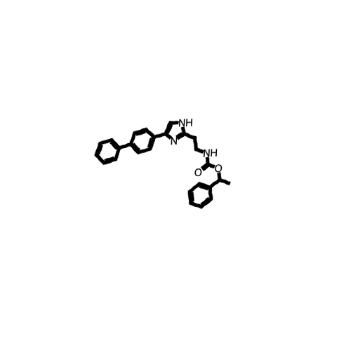 CC(OC(=O)NCCc1nc(-c2ccc(-c3ccccc3)cc2)c[nH]1)c1ccccc1